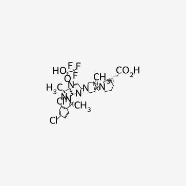 Cc1nn([C@H](C)c2ccc(Cl)cc2Cl)c2nc(N3CC[C@@H](N4CCC[C@@H](CCC(=O)O)C4)[C@@H](C)C3)cnc12.O=C(O)C(F)(F)F